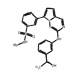 CC(O)c1cccc(Nc2ncc3ccc(-c4cccc(S(=O)(=O)NC(C)(C)C)c4)n3n2)c1